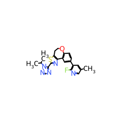 Cc1cnc(F)c(-c2ccc3c(c2)-c2nc(-c4ncnn4C(C)C)sc2CCO3)c1